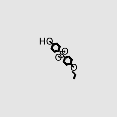 C=CCOc1ccc(S(=O)(=O)c2ccc(O)cc2)cc1